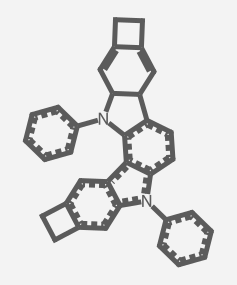 C1=C2CCC2=CC2C1c1ccc3c(c1N2c1ccccc1)c1cc2c(cc1n3-c1ccccc1)CC2